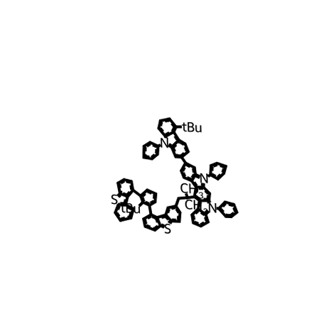 CC(C)(C)c1c(-c2cccc3sc4ccccc4c23)cccc1-c1cccc2sc3ccc(CC(C)(C)c4c5c6ccccc6n(-c6ccccc6)c5cc5c4c4ccc(-c6ccc7c8c(C(C)(C)C)cccc8n(-c8ccccc8)c7c6)cc4n5-c4ccccc4)cc3c12